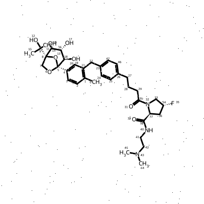 Cc1ccc([C@]23OC[C@](C(C)(C)O)(O2)[C@@H](O)[C@H](O)[C@H]3O)cc1Cc1ccc(CCCC(=O)N2C[C@H](F)C[C@H]2C(=O)NCCN(C)C)cc1